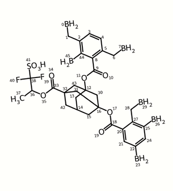 BCc1ccc(CB)c(C(=O)OC23CC4CC(OC(=O)c5cc(B)cc(B)c5CB)(C2)CC(C(=O)OC(C)C(F)(F)S(=O)(=O)O)(C4)C3)c1B